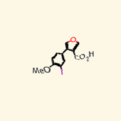 COc1ccc(-c2cocc2C(=O)O)cc1I